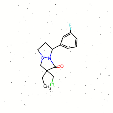 CCC1(CCl)CN2CCC(c3cccc(F)c3)N2C1=O